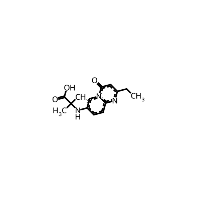 CCc1cc(=O)n2cc(NC(C)(C)C(=O)O)ccc2n1